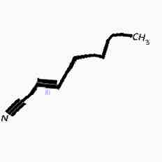 CCCC/C=C/C#N